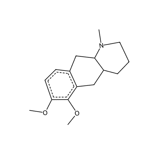 COc1ccc2c(c1OC)CC1CCCN(C)C1C2